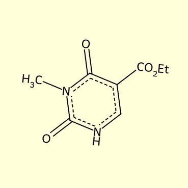 CCOC(=O)c1c[nH]c(=O)n(C)c1=O